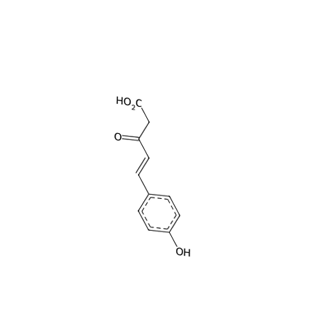 O=C(O)CC(=O)C=Cc1ccc(O)cc1